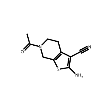 CC(=O)N1CCc2c(sc(N)c2C#N)C1